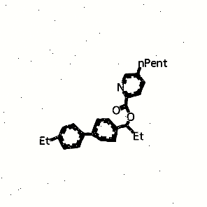 CCCCCc1ccc(C(=O)OC(CC)c2ccc(-c3ccc(CC)cc3)cc2)nc1